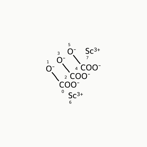 O=C([O-])[O-].O=C([O-])[O-].O=C([O-])[O-].[Sc+3].[Sc+3]